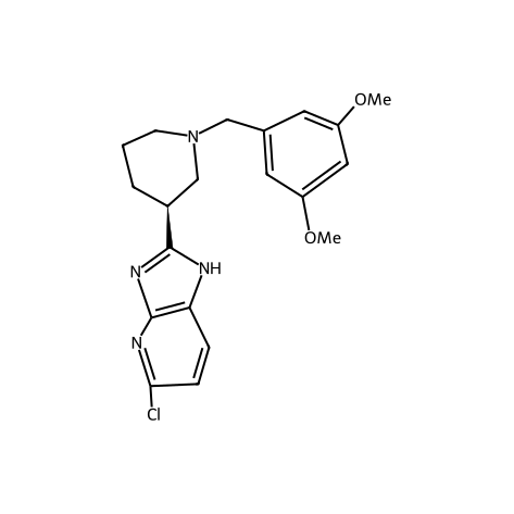 COc1cc(CN2CCC[C@H](c3nc4nc(Cl)ccc4[nH]3)C2)cc(OC)c1